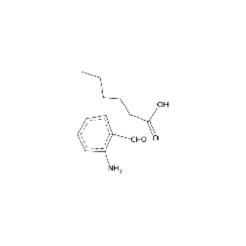 CCCCCC(=O)O.Nc1ccccc1C=O